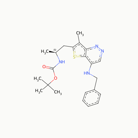 Cc1c(C[C@H](C)NC(=O)OC(C)(C)C)sc2c(NCc3ccccc3)cnnc12